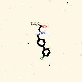 CCOC(=O)C(O)CN(N)Cc1ccc(-c2cc(Cl)ccc2F)cc1